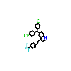 FC(F)(F)c1ccc(/C=C/c2ccnc3ccc(C(c4ccc(Cl)cc4)c4ccc(Cl)cc4)cc23)cc1